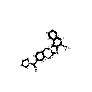 CSc1nc2c(N)nc3ccccc3c2n1Cc1ccc(C(=O)N2CCCC2)cc1